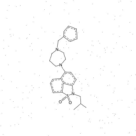 CC(C)CN1c2ccc(N3CCCN(Cc4ccccc4)CC3)c3cccc(c23)S1(=O)=O